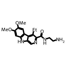 CCc1c(C(=O)NCCN)ncc2[nH]c3cc(OC)c(OC)cc3c12